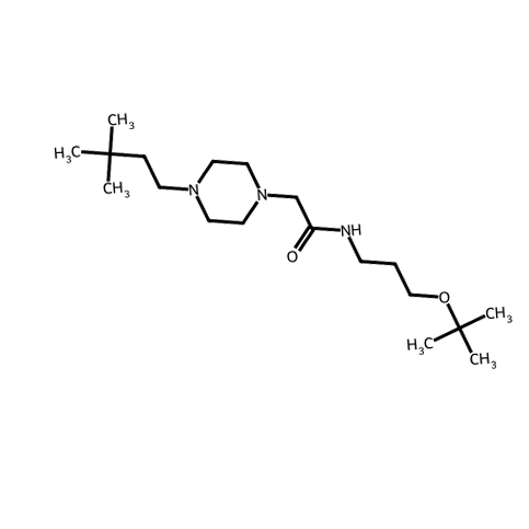 CC(C)(C)CCN1CCN(CC(=O)NCCCOC(C)(C)C)CC1